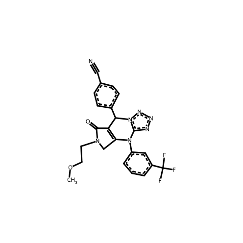 COCCN1CC2=C(C1=O)C(c1ccc(C#N)cc1)n1nnnc1N2c1cccc(C(F)(F)F)c1